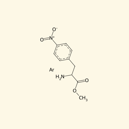 COC(=O)C(N)Cc1ccc([N+](=O)[O-])cc1.[Ar]